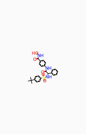 CC(C)(C)c1ccc(S(=O)(=O)NC(C(=O)Nc2ccc(C(=O)NO)cc2)c2ccccc2)cc1